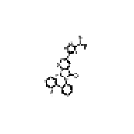 O=C1c2cc(-c3nnc(C(F)F)o3)cnc2CN1c1ccccc1-c1c(F)cccc1F